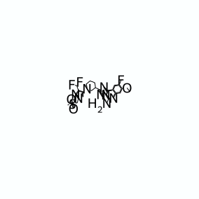 COc1cc2nc(N)n3nc(C4CCCN(c5cn(CS(C)(=O)=O)nc5C(F)F)C4)nc3c2cc1F